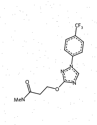 CNC(=O)CCOc1ncn(-c2ccc(C(F)(F)F)cc2)n1